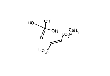 O=C(O)C=CC(=O)O.O=P(O)(O)O.[CaH2]